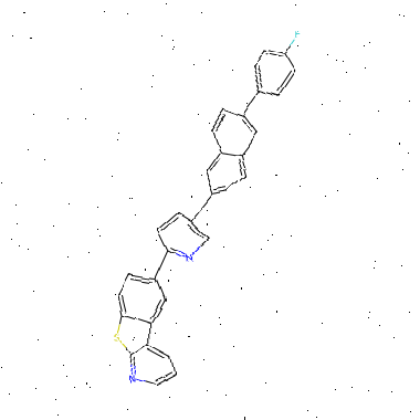 Fc1ccc(-c2ccc3cc(-c4ccc(-c5ccc6sc7ncccc7c6c5)nc4)ccc3c2)cc1